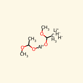 COC(C)[O][Al+][O]C(C)OC.[H-].[H-].[Li+]